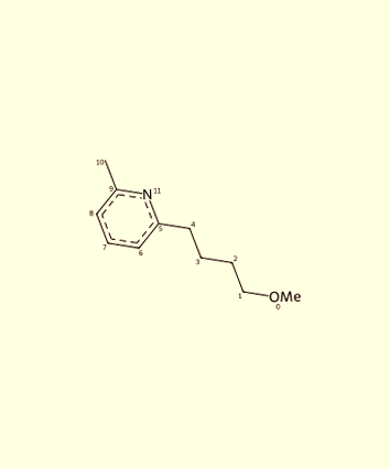 COCCCCc1cccc(C)n1